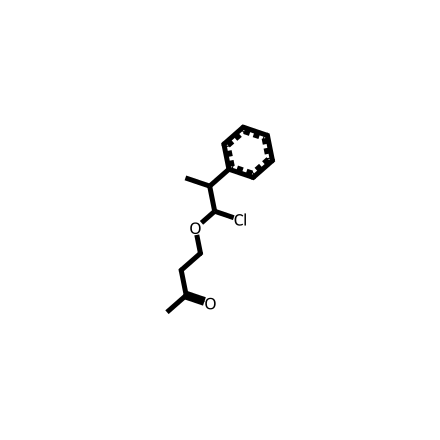 CC(=O)CCOC(Cl)C(C)c1ccccc1